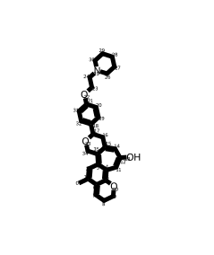 Cc1cc2c(c3c1=CCCO3)C=C(O)C=C1CC(c3ccc(OCCN4CCCCC4)cc3)OCC=21